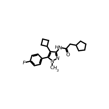 Cn1nc(NC(=O)CC2CCCC2)c(C2CCC2)c1-c1ccc(F)cc1